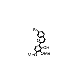 COc1ccc(C(=O)/C=C\c2ccc(Br)cc2)c(O)c1OC